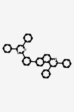 c1ccc(-c2cc(-c3ccccc3)nc(-c3cccc(-c4ccc5c(ccc6nc(-c7ccccc7)cc(-c7ccccc7)c65)c4)c3)n2)cc1